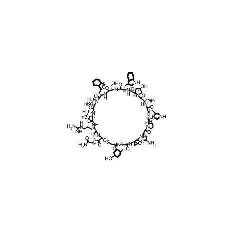 CCCC[C@H]1C(=O)N(C)[C@@H](CCCC)C(=O)N[C@@H](CCCNC(=N)N)C(=O)NC(C(=O)NCC(N)=O)CSCC(=O)N[C@@H](Cc2ccc(O)cc2)C(=O)NC2(CC2)C(=O)N[C@@H](CC(N)=O)C(=O)N2CCC[C@H]2C(=O)N[C@@H](Cc2c[nH]cn2)C(=O)N[C@@H](CC(C)C)C(=O)N2C[C@H](O)C[C@H]2C(=O)N[C@@H](Cc2c[nH]c3ccccc23)C(=O)N[C@@H](CO)C(=O)N[C@@H](Cc2csc3ccccc23)C(=O)N1C